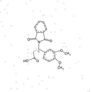 COc1ccc([C@H](CC(=O)O)N2C(=O)c3ccccc3C2=O)cc1OC